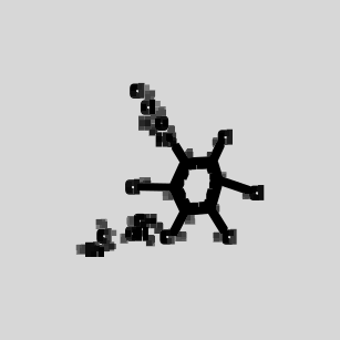 O.O.O.Sc1c(Cl)c(Cl)c(Cl)c(Cl)c1Cl.[Cl-].[Cl-].[Cl-].[Rh+3]